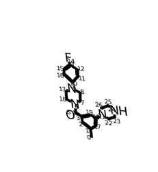 Cc1cc(C(=O)N2CCN(c3ccc(F)cc3)CC2)cc(N2CCNCC2)c1